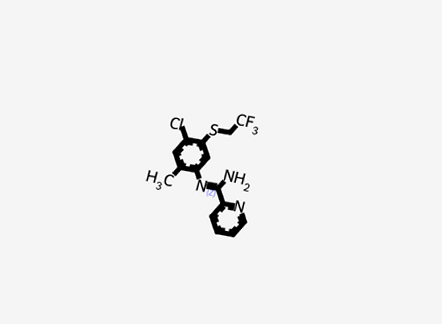 Cc1cc(Cl)c(SCC(F)(F)F)cc1/N=C(\N)c1ccccn1